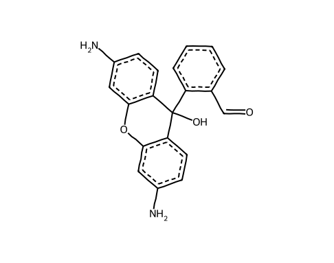 Nc1ccc2c(c1)Oc1cc(N)ccc1C2(O)c1ccccc1C=O